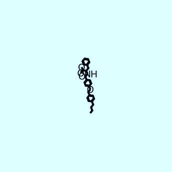 CCCCc1ccc(COc2ccc(C(=O)NC(Cc3ccccc3)C(=O)OC)cc2)cc1